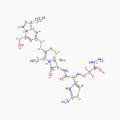 CC(C)(ON=C(C(=O)NC1C(=O)N2C(C(=O)O)=C(CSc3cc(CO)n4ncc(C(=O)O)c4n3)CS[C@@H]12)c1csc(N)n1)C(=O)NN